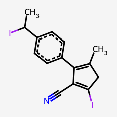 CC1=C(c2ccc(C(C)I)cc2)C(C#N)=C(I)C1